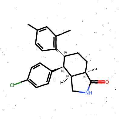 Cc1ccc([C@@H]2CC[C@@]3(C)C(=O)NC[C@H]3[C@H]2c2ccc(Cl)cc2)c(C)c1